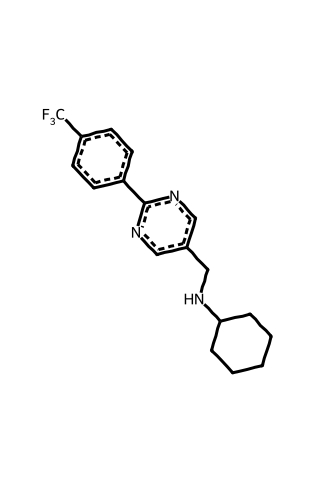 FC(F)(F)c1ccc(-c2ncc(CNC3CCCCC3)cn2)cc1